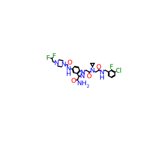 NC(=O)c1nn(CC(=O)N(CC(=O)NCc2cccc(Cl)c2F)C2CC2)c2ccc(NC(=O)N3CCN(CC(F)F)CC3)cc12